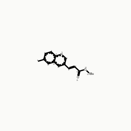 Cc1ccc2ncc(/C=C/C(=O)OC(C)(C)C)cc2c1